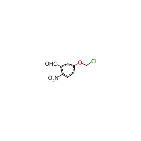 O=Cc1cc(OCCl)ccc1[N+](=O)[O-]